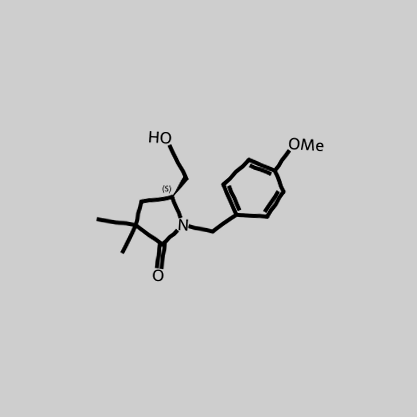 COc1ccc(CN2C(=O)C(C)(C)C[C@H]2CO)cc1